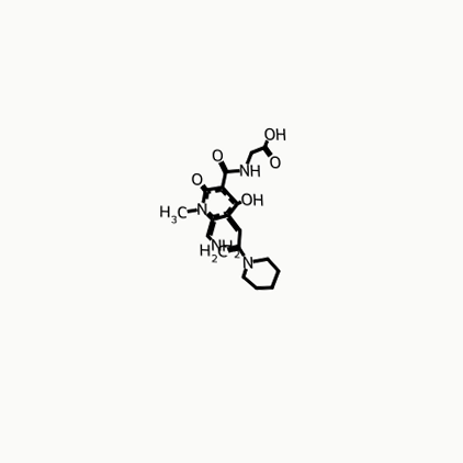 C=C(/C=c1/c(O)c(C(=O)NCC(=O)O)c(=O)n(C)/c1=C/N)N1CCCCC1